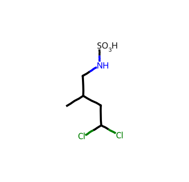 CC(CNS(=O)(=O)O)CC(Cl)Cl